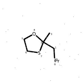 CC(C)CC1(C)OCCS1